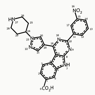 O=C(O)c1ccc2c(c1)[nH]c1nc(-c3cccc([N+](=O)[O-])c3)nc(-c3cnn(C4CCNCC4)c3)c12